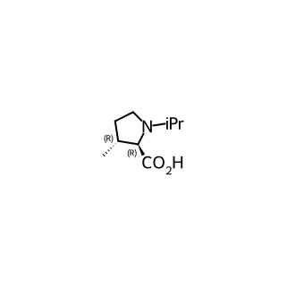 CC(C)N1CC[C@@H](C)[C@@H]1C(=O)O